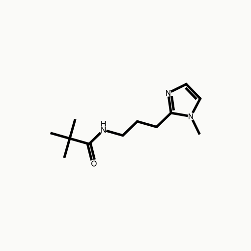 Cn1ccnc1CCCNC(=O)C(C)(C)C